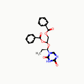 CC[C@@H](OC(COC(=O)c1ccccc1)OC(=O)c1ccccc1)n1cnc(=O)[nH]c1=O